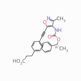 Cc1noc(C#Cc2ccc(CCC(=O)O)cc2)c1NC(=O)O[C@H](C)c1ccccc1